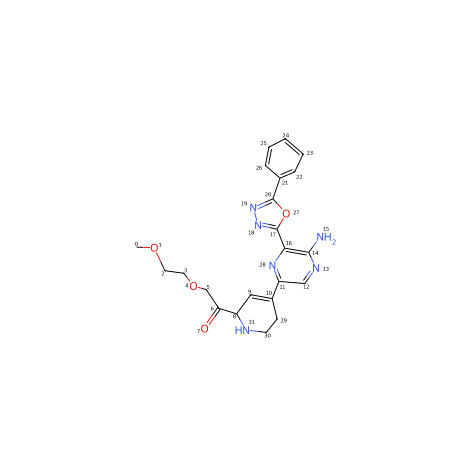 COCCOCC(=O)C1C=C(c2cnc(N)c(-c3nnc(-c4ccccc4)o3)n2)CCN1